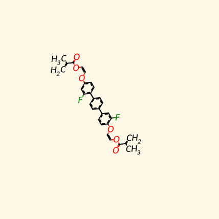 C=C(C)C(=O)O/C=C\Oc1ccc(-c2ccc(-c3ccc(O/C=C\OC(=O)C(=C)C)c(F)c3)cc2)c(F)c1